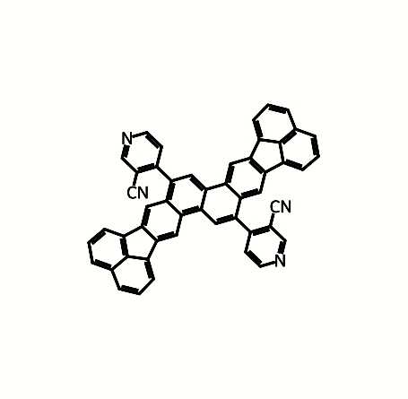 N#Cc1cnccc1-c1cc2c3cc4c(cc3c(-c3ccncc3C#N)cc2c2cc3c(cc12)-c1cccc2cccc-3c12)-c1cccc2cccc-4c12